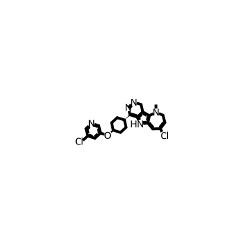 CN1CC=C(Cl)C=c2[nH]c3c(c21)CN=NC=3[C@H]1CC[C@H](Oc2cncc(Cl)c2)CC1